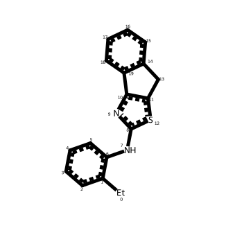 CCc1ccccc1Nc1nc2c(s1)Cc1ccccc1-2